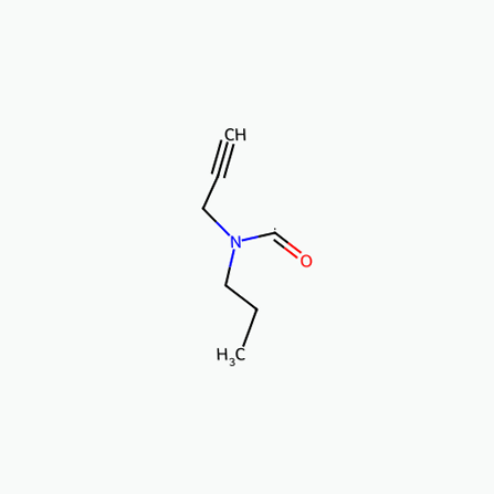 C#CCN([C]=O)CCC